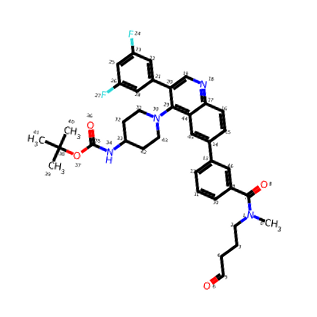 CN(CCCC=O)C(=O)c1cccc(-c2ccc3ncc(-c4cc(F)cc(F)c4)c(N4CCC(NC(=O)OC(C)(C)C)CC4)c3c2)c1